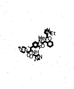 CCn1nccc1C(=O)N[C@H](C(=O)Nc1ccc([C@H](C)[C@@H](NC(=O)c2cncn2C)C(=O)N2CCN(C)CC2)cc1F)C1CCCCC1